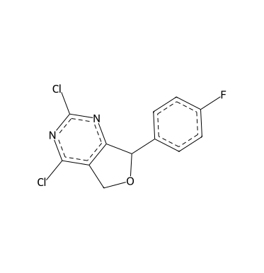 Fc1ccc(C2OCc3c(Cl)nc(Cl)nc32)cc1